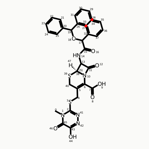 Cn1c(SCC2=C(C(=O)O)N3C(=O)C(NC(=O)C(OC(c4ccccc4)c4ccccc4)c4ccccc4)[C@@H]3SC2)nnc(O)c1=O